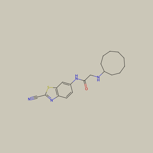 N#Cc1nc2ccc(NC(=O)CNC3CCCCCCCC3)cc2s1